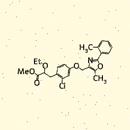 CCOC(Cc1ccc(OCc2nc(-c3ccccc3C)oc2C)cc1Cl)C(=O)OC